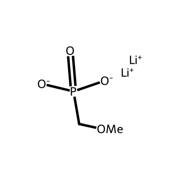 COCP(=O)([O-])[O-].[Li+].[Li+]